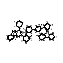 C1=CCC(C2NC(c3ccccc3)NC(c3cccc4sc5c(-c6ccc7c(c6)sc6cccc(-n8c9c(c%10ccccc%108)CCC=C9)c67)cccc5c34)N2)C=C1